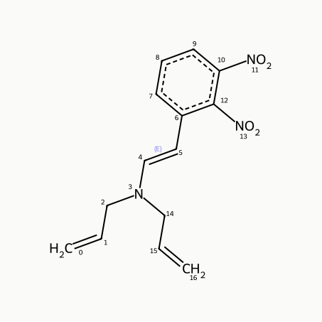 C=CCN(/C=C/c1cccc([N+](=O)[O-])c1[N+](=O)[O-])CC=C